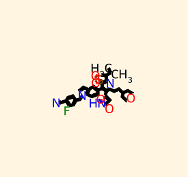 CC(C)C1CS(=O)(=O)c2c1nc(CCC1CCOCC1)c(-c1cc(=O)[nH]o1)c2-c1ccc2c(ccn2Cc2ccc(C#N)c(F)c2)c1